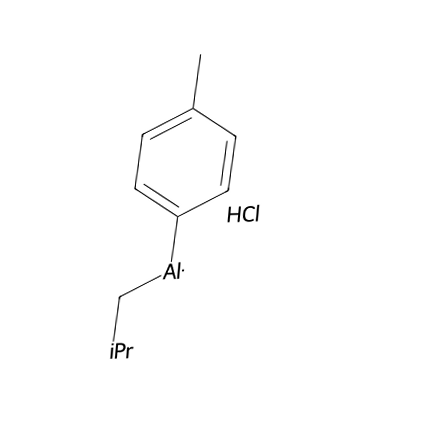 Cc1cc[c]([Al][CH2]C(C)C)cc1.Cl